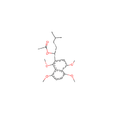 COc1ccc(OC)c2c(OC)c(C(CCC(C)C)OC(C)=O)cc(OC)c12